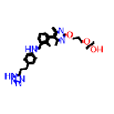 Cc1nc(OCCCOC(C)(C)O)nc(C)c1-c1cccc(CNc2ccc(CCc3nnn[nH]3)cc2)c1C